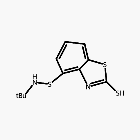 CC(C)(C)NSc1cccc2sc(S)nc12